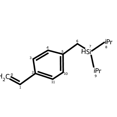 C=Cc1ccc(C[SiH](C(C)C)C(C)C)cc1